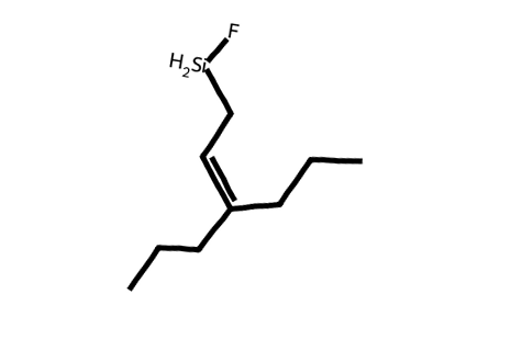 CCCC(=CC[SiH2]F)CCC